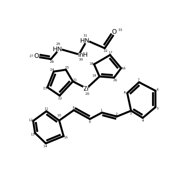 C(C=Cc1ccccc1)=Cc1ccccc1.C1=CC[C]([Zr][C]2=CC=CC2)=C1.O=C[NH][InH][NH]C=O